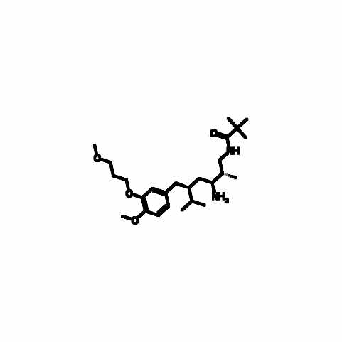 COCCCOc1cc(C[C@@H](C[C@H](N)[C@@H](C)CNC(=O)C(C)(C)C)C(C)C)ccc1OC